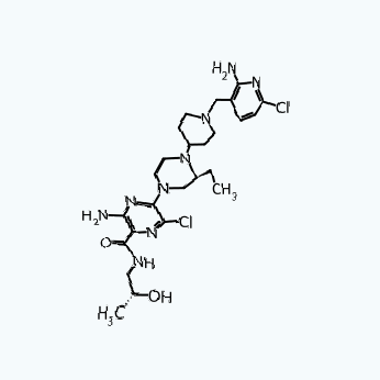 CC[C@H]1CN(c2nc(N)c(C(=O)NC[C@@H](C)O)nc2Cl)CCN1C1CCN(Cc2ccc(Cl)nc2N)CC1